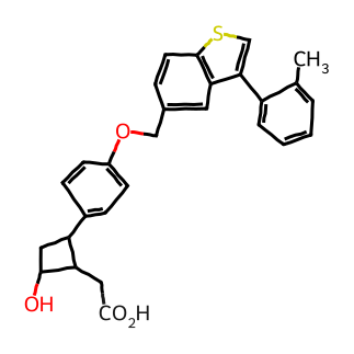 Cc1ccccc1-c1csc2ccc(COc3ccc(C4CC(O)C4CC(=O)O)cc3)cc12